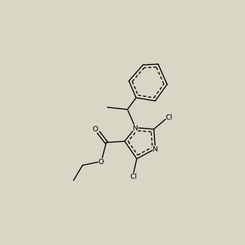 CCOC(=O)c1c(Cl)nc(Cl)n1C(C)c1ccccc1